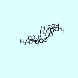 Cc1cc(OCCCOc2ccc(OCCCC(C)(C)C(=O)O)cc2)c(C)c(C)c1O